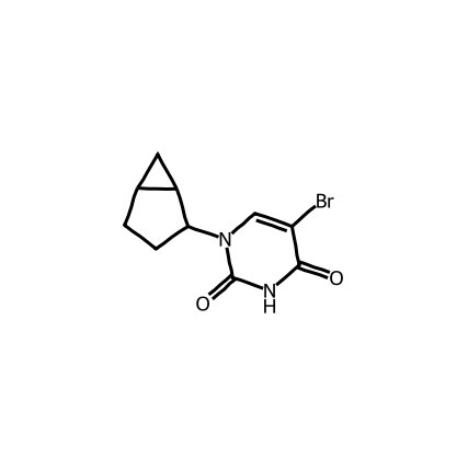 O=c1[nH]c(=O)n(C2CCC3CC32)cc1Br